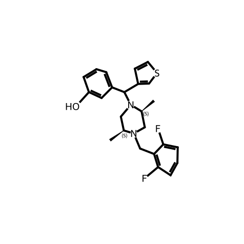 C[C@H]1CN(C(c2ccsc2)c2cccc(O)c2)[C@@H](C)CN1Cc1c(F)cccc1F